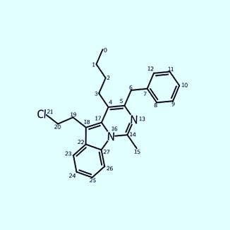 CCCCc1c(Cc2ccccc2)nc(C)n2c1c(CCCl)c1ccccc12